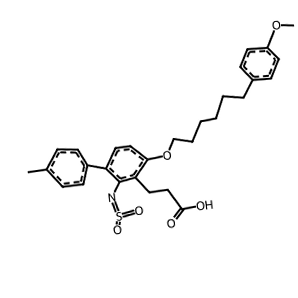 COc1ccc(CCCCCCOc2ccc(-c3ccc(C)cc3)c(N=S(=O)=O)c2CCC(=O)O)cc1